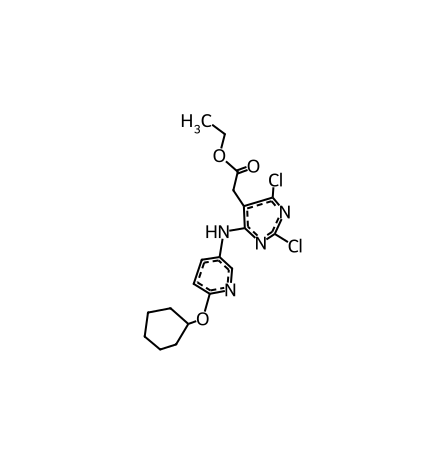 CCOC(=O)Cc1c(Cl)nc(Cl)nc1Nc1ccc(OC2CCCCC2)nc1